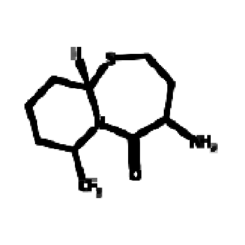 NC1CCS[C@H]2CCCC(C(F)(F)F)N2C1=O